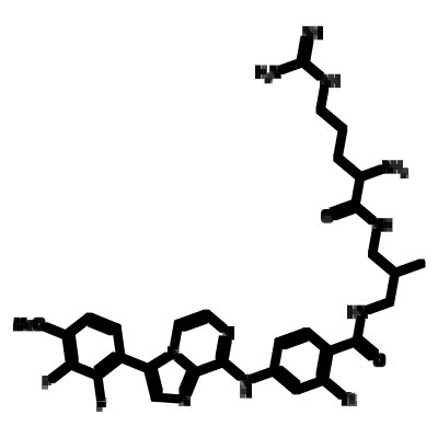 CCc1cc(Nc2nccn3c(-c4ccc(OC)c(F)c4F)cnc23)ccc1C(=O)NCC(C)CNC(=O)C(N)CCCNC(=N)N